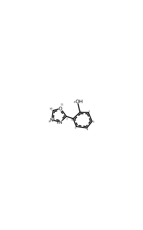 Oc1ccccc1-c1nn[c]o1